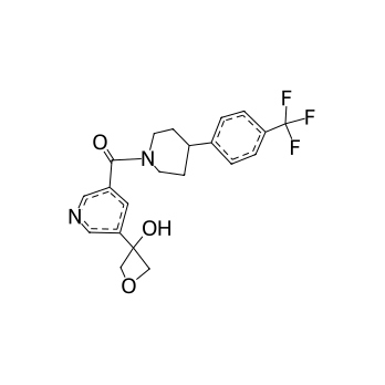 O=C(c1cncc(C2(O)COC2)c1)N1CCC(c2ccc(C(F)(F)F)cc2)CC1